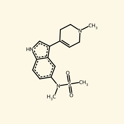 CN1CC=C(c2c[nH]c3ccc(N(C)S(C)(=O)=O)cc23)CC1